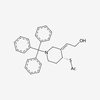 CC(=O)S[C@@H]1CCN(C(c2ccccc2)(c2ccccc2)c2ccccc2)CC1=CCO